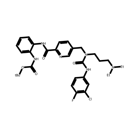 CCN(CC)CCCN(Cc1ccc(C(=O)Nc2ccccc2NC(=O)OC(C)(C)C)nc1)C(=O)Nc1ccc(F)c(Cl)c1